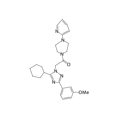 COc1cccc(-c2nc(C3CCCCC3)n(CC(=O)N3CCN(c4ccccn4)CC3)n2)c1